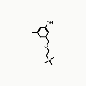 CC1=CC(O)=CC(COCC[Si](C)(C)C)C1